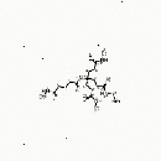 CCNC(=O)CCCC(=O)NC(CCC(=O)NCC)(CCC(=O)NCC)CCC(=O)NCC(C)C